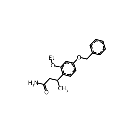 CCOc1cc(OCc2ccccc2)ccc1C(C)CC(N)=O